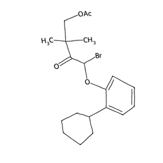 CC(=O)OCC(C)(C)C(=O)C(Br)Oc1ccccc1C1CCCCC1